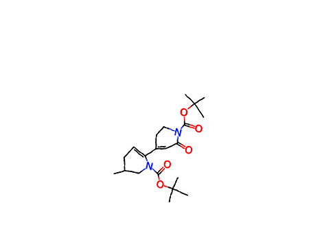 CC1CC=C(C2=CC(=O)N(C(=O)OC(C)(C)C)CC2)N(C(=O)OC(C)(C)C)C1